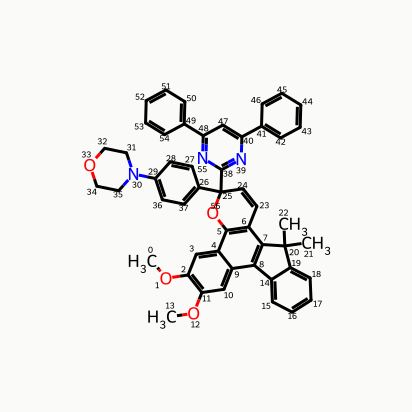 COc1cc2c3c(c4c(c2cc1OC)-c1ccccc1C4(C)C)C=CC(c1ccc(N2CCOCC2)cc1)(c1nc(-c2ccccc2)cc(-c2ccccc2)n1)O3